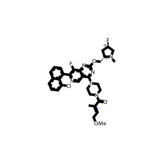 COC/C=C(\C)C(=O)N1CCN(c2nc(OC[C@@H]3C[C@@H](F)CN3C)nc3c(F)c(-c4cccc5cccc(Cl)c45)ncc23)CC1